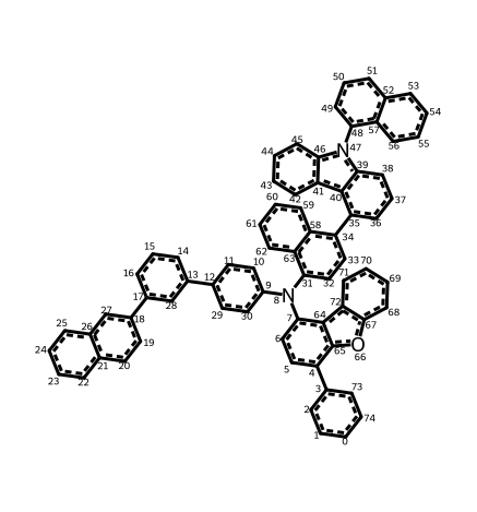 c1ccc(-c2ccc(N(c3ccc(-c4cccc(-c5ccc6ccccc6c5)c4)cc3)c3ccc(-c4cccc5c4c4ccccc4n5-c4cccc5ccccc45)c4ccccc34)c3c2oc2ccccc23)cc1